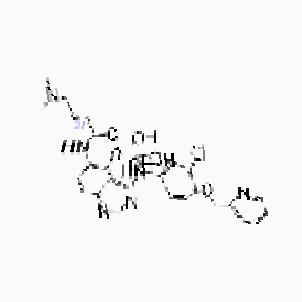 CN(C)C/C=C/C(=O)Nc1ccc2ncnc(Nc3ccc(OCc4ccccn4)c(Cl)c3)c2c1OC(O)(O)O